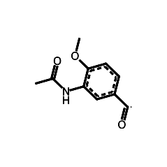 COc1ccc([C]=O)cc1NC(C)=O